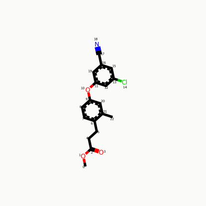 COC(=O)CCc1ccc(Oc2cc(Cl)cc(C#N)c2)cc1C